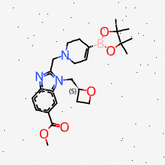 COC(=O)c1ccc2nc(CN3CC=C(B4OC(C)(C)C(C)(C)O4)CC3)n(C[C@@H]3CCO3)c2c1